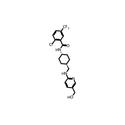 O=C(N[C@H]1CC[C@H](CNc2ccc(CO)cn2)CC1)c1cc(C(F)(F)F)ccc1Cl